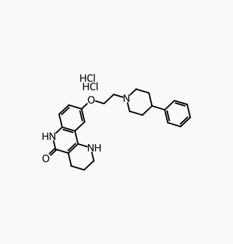 Cl.Cl.O=c1[nH]c2ccc(OCCN3CCC(c4ccccc4)CC3)cc2c2c1CCCN2